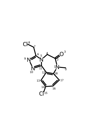 CN1C(=O)Cn2c(CCl)nnc2-c2cc(Cl)ccc21